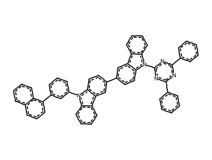 c1ccc(-c2nc(-c3ccccc3)nc(-n3c4ccccc4c4cc(-c5ccc6c(c5)c5ccccc5n6-c5cccc(-c6cccc7ccccc67)c5)ccc43)n2)cc1